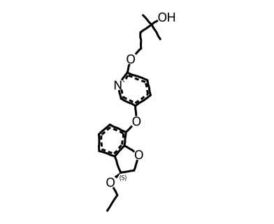 CCO[C@@H]1COc2c(Oc3ccc(OCCC(C)(C)O)nc3)cccc21